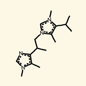 Cc1c(C(C)C[n+]2cn(C)c(C(C)C)c2C)ncn1C